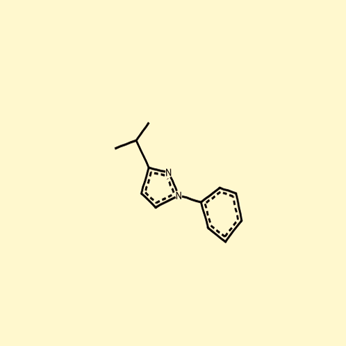 CC(C)c1ccn(-c2ccccc2)n1